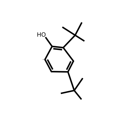 CC(C)(C)c1c[c]c(O)c(C(C)(C)C)c1